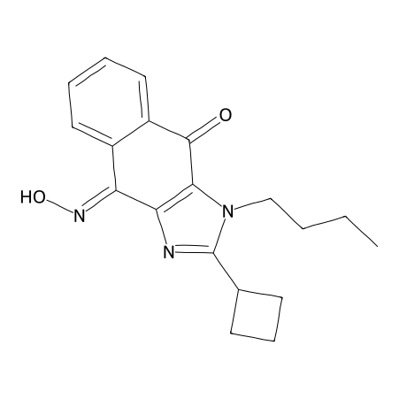 CCCCn1c(C2CCC2)nc2c1C(=O)c1ccccc1/C2=N\O